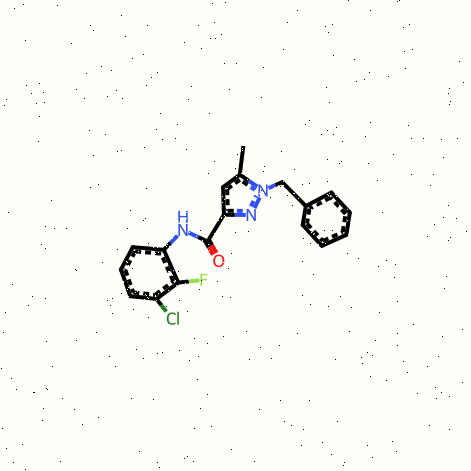 Cc1cc(C(=O)Nc2cccc(Cl)c2F)nn1Cc1ccccc1